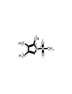 Cc1c(N)cn(S(C)(=O)=O)c1C#N